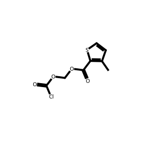 Cc1ccsc1C(=O)OCOC(=O)Cl